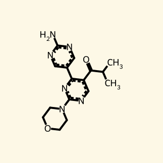 CC(C)C(=O)c1cnc(N2CCOCC2)nc1-c1cnc(N)nc1